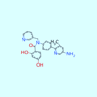 Cc1cc(N)cnc1-c1ccc(N(Cc2cccnc2)C(=O)c2ccc(O)cc2O)cc1